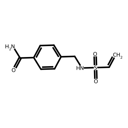 C=CS(=O)(=O)NCc1ccc(C(N)=O)cc1